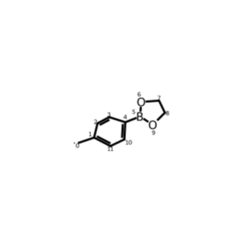 [CH2]c1ccc(B2OCCO2)cc1